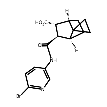 O=C(O)[C@H]1[C@H](C(=O)Nc2ccc(Br)nc2)[C@@H]2CC[C@H]1C21CC1